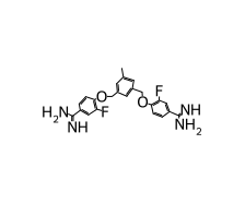 Cc1cc(COc2ccc(C(=N)N)cc2F)cc(COc2ccc(C(=N)N)cc2F)c1